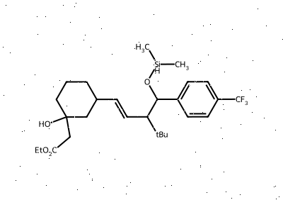 CCOC(=O)CC1(O)CCCC(C=CC(C(O[SiH](C)C)c2ccc(C(F)(F)F)cc2)C(C)(C)C)C1